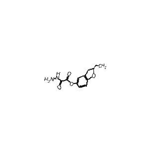 CCC1Cc2cc(OC(=O)C(=O)NN)ccc2O1